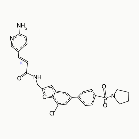 Nc1ccc(/C=C/C(=O)NCc2cc3cc(-c4ccc(S(=O)(=O)N5CCCC5)cc4)cc(Cl)c3o2)cn1